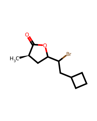 C[C@@H]1CC(C(Br)CC2CCC2)OC1=O